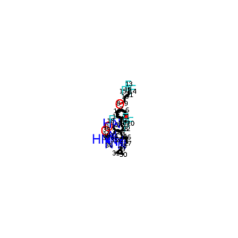 O=C1N[C@@](c2ccc(OCCCC(F)(F)F)cc2F)(C(F)(F)F)CC(c2ccn(C3CC3)n2)=C1n1nn[nH]c1=O